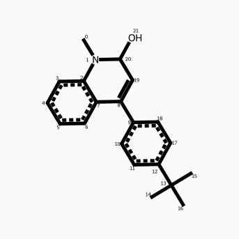 CN1c2ccccc2C(c2ccc(C(C)(C)C)cc2)=CC1O